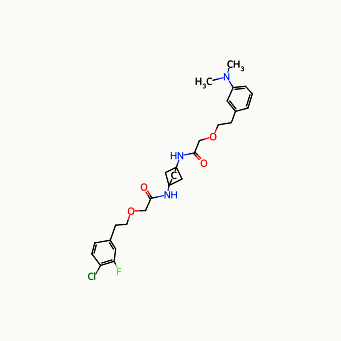 CN(C)c1cccc(CCOCC(=O)NC23CC(NC(=O)COCCc4ccc(Cl)c(F)c4)(C2)C3)c1